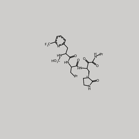 CC(C)CC(NC(=O)C(Cc1cccc(C(F)(F)F)n1)NC(=O)O)C(=O)NC(C[C@@H]1CCNC1=O)C(=O)C(=O)NC(C)C